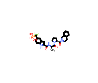 CC(NC(=O)c1cc2cc(C(F)(F)P(=O)(O)O)ccc2[nH]1)C(=O)N1CCC[C@H]1C(=O)N1CCc2ccccc2C1